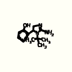 CC(C)(C)N1C(N)=NCC1c1ccccc1O